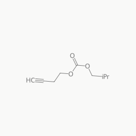 C#CCCOC(=O)OCC(C)C